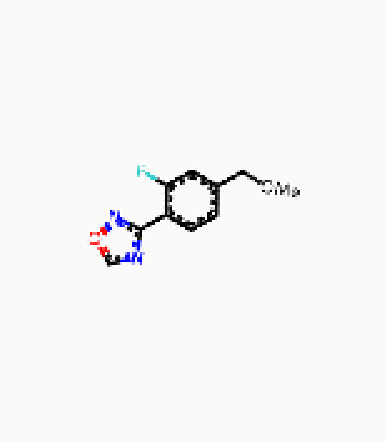 COCc1ccc(-c2ncon2)c(F)c1